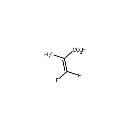 CC(C(=O)O)=C(F)F